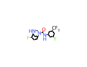 O=C(Nc1cc(F)cc(C(F)(F)F)c1)N1CNc2cc1ccc2F